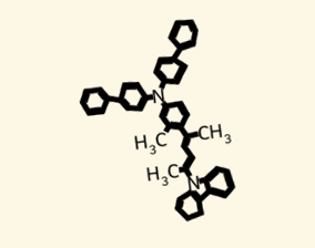 C/C(=C\C=C(/C)n1c2c(c3ccccc31)CCC=C2)c1ccc(N(c2ccc(-c3ccccc3)cc2)c2ccc(-c3ccccc3)cc2)cc1C